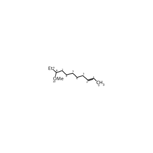 CC=CCCCCCC(CC)OC